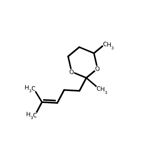 CC(C)=CCCC1(C)OCCC(C)O1